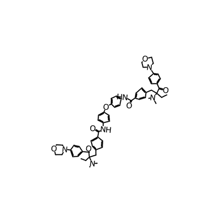 CCC(Cc1ccc(C(=O)Nc2ccc(Oc3ccc(NC(=O)c4ccc(CC(CC)(C(=O)c5ccc(N6CCOCC6)cc5)N(C)C)cc4)cc3)cc2)cc1)(C(=O)c1ccc(N2CCOCC2)cc1)N(C)C